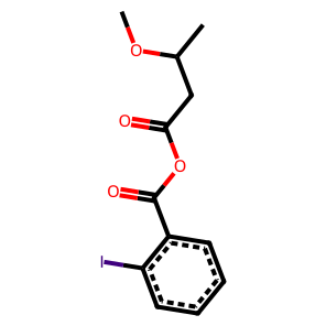 COC(C)CC(=O)OC(=O)c1ccccc1I